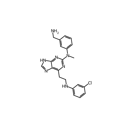 CN(c1cccc(CN)c1)c1nc(CCNc2cccc(Cl)c2)c2nc[nH]c2n1